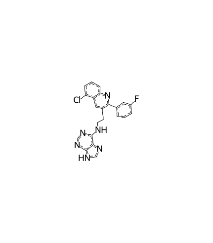 Fc1cccc(-c2nc3cccc(Cl)c3cc2CCNc2ncnc3[nH]cnc23)c1